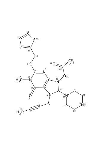 CC#CCN1c2c(nc(SCc3cccs3)n(C)c2=O)N(OC(=O)C(F)(F)F)C1N1CCNCC1